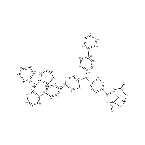 C[C@H]1CC2C[C@H]3CC(c4ccc(N(c5ccc(-c6ccccc6)cc5)c5ccc(-c6ccc(-c7ccccc7-n7c8ccccc8c8ccccc87)cc6)cc5)cc4)(CC23)C1